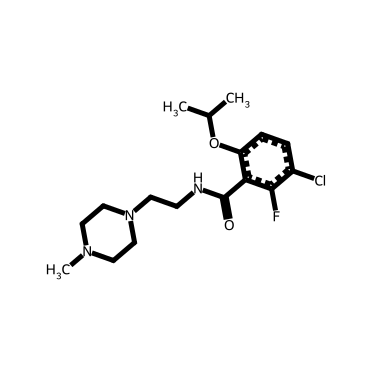 CC(C)Oc1ccc(Cl)c(F)c1C(=O)NCCN1CCN(C)CC1